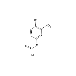 NC(=O)Oc1ccc(Br)c([N+](=O)[O-])c1